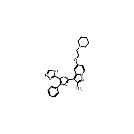 Cc1nn2ccc(OCCN3CCCCC3)cc2c1-c1nc(-c2ccccc2)c(-c2nnc[nH]2)s1